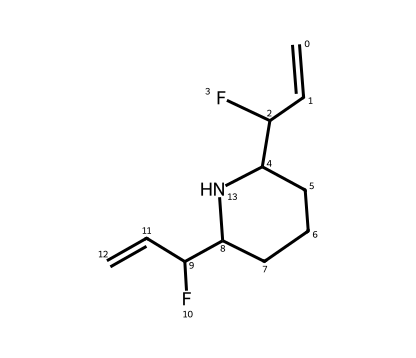 C=CC(F)C1CCCC(C(F)C=C)N1